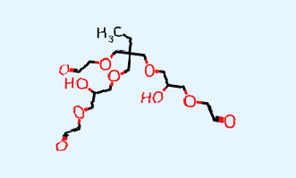 CCC(COCC=O)(COCC(O)COCC=O)COCC(O)COCC=O